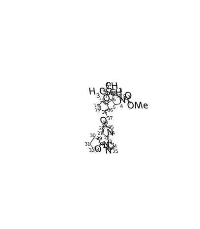 COC(=O)N1CCC(O[Si](C)(C)C)(c2cccc(COc3ccc(-c4ccnn4C4CCCCO4)nc3)c2)CC1